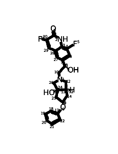 O=c1[nH]c2c(F)cc([C@H](O)CN3C[C@H]4C[C@H](Oc5ccccc5)C[C@@]4(O)C3)cc2cc1F